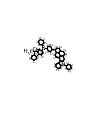 CC1(C)c2ccccc2-c2ccc(N(c3ccccc3)c3ccc(-c4ccc5ccc6cc7c(c8ccc4c5c68)c4ccccc4n7-c4ccccc4)cc3)cc21